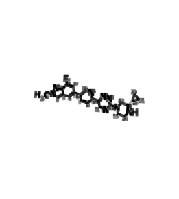 Cn1cc2cc(-c3ccc(-c4cnc(N5CCN[C@@H](C6CC6)C5)nn4)nc3)cc(F)c2n1